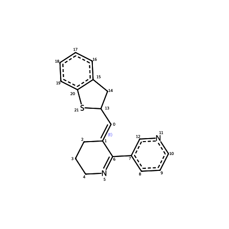 C(=C1/CCCN=C1c1cccnc1)/C1Cc2ccccc2S1